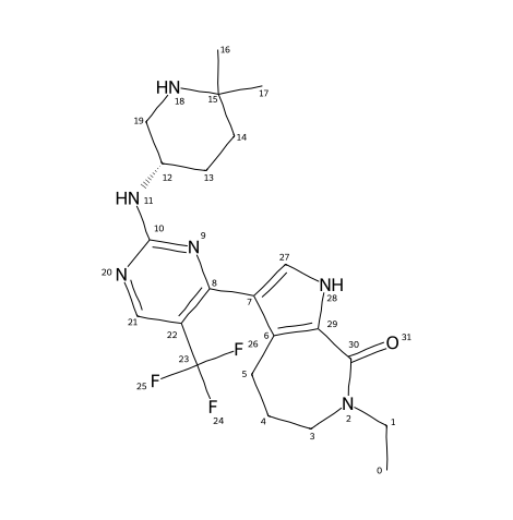 CCN1CCCc2c(-c3nc(N[C@H]4CCC(C)(C)NC4)ncc3C(F)(F)F)c[nH]c2C1=O